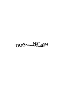 O=C([O-])CCCCCCCCCCCCCCCCCCc1ccc(O)cc1.[Na+]